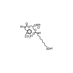 CCCCCCCCCCCCCCCCCCNC(=O)OCC(COC(=O)N(Cc1cccc[n+]1CC(=O)OCC)C(C)=O)OC.[Cl-]